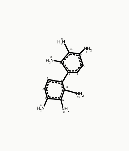 Nc1ccc(-c2ccc(N)c(N)c2N)c(N)c1N